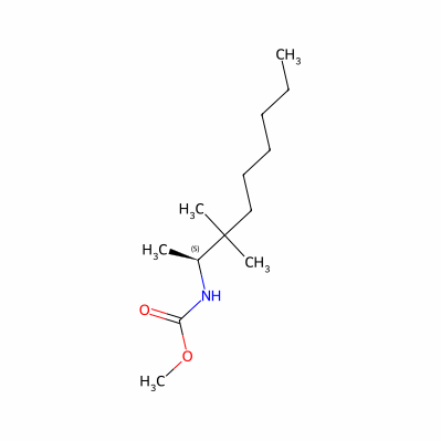 CCCCCCC(C)(C)[C@H](C)NC(=O)OC